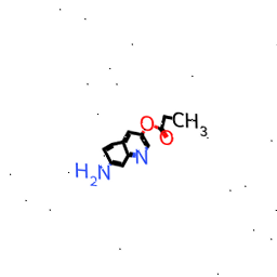 CCC(=O)Oc1cnc2cc(N)ccc2c1